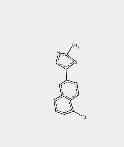 Cc1ncc(-c2cc3cccc(Cl)c3cn2)s1